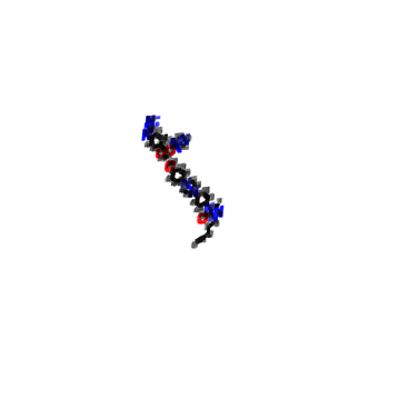 C#CCCCn1ncn(-c2ccc(N3CCN(c4ccc(OC[C@@H]5CO[C@@](Cn6cncn6)(c6ccc(N=[N+]=[N-])cc6)O5)cc4)CC3)cc2)c1=O